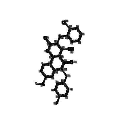 CSc1ccc2c3oc(=O)c(Sc4ccccc4Cl)c(O)c3c(=O)n(Cc3ccc(F)cc3)c2c1